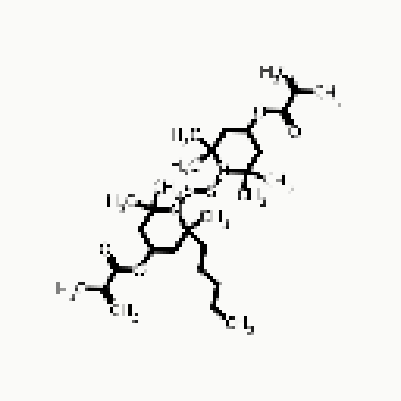 C=C(C)C(=O)OC1CC(C)(C)N(SSN2C(C)(C)CC(OC(=O)C(=C)C)CC2(C)CCCCC)C(C)(C)C1